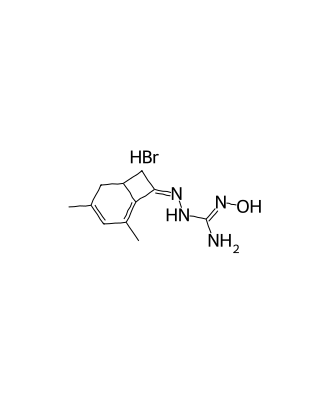 Br.CC1=CC(C)=C2C(=NNC(N)=NO)CC2C1